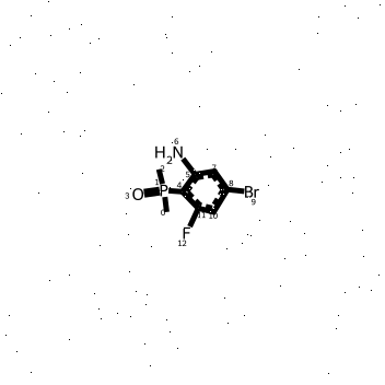 CP(C)(=O)c1c(N)cc(Br)cc1F